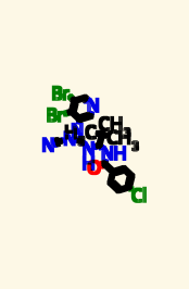 CC(C)(C)C(NC(=O)c1ccc(Cl)cc1)NC1N(C#N)N1c1cncc(Br)c1Br